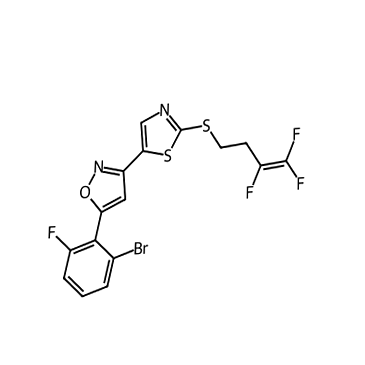 FC(F)=C(F)CCSc1ncc(-c2cc(-c3c(F)cccc3Br)on2)s1